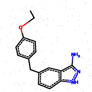 CCOc1ccc(Cc2ccc3[nH]nc(N)c3c2)cc1